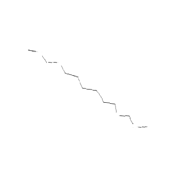 CCOCOCCCCCCOCOCC